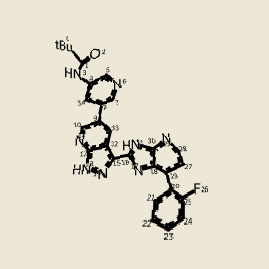 CC(C)(C)C(=O)Nc1cncc(-c2cnc3[nH]nc(-c4nc5c(-c6ccccc6F)ccnc5[nH]4)c3c2)c1